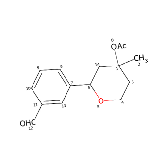 CC(=O)OC1(C)CCOC(c2cccc(C=O)c2)C1